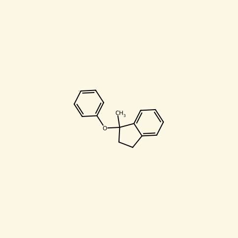 CC1(Oc2cc[c]cc2)CCc2ccccc21